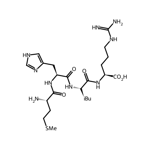 CC[C@H](C)[C@H](NC(=O)[C@H](Cc1c[nH]cn1)NC(=O)[C@@H](N)CCSC)C(=O)N[C@@H](CCCNC(=N)N)C(=O)O